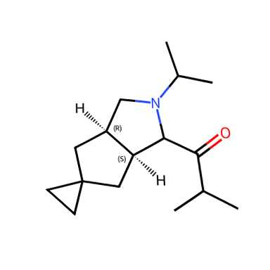 CC(C)C(=O)C1[C@H]2CC3(CC3)C[C@H]2CN1C(C)C